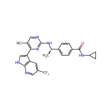 C[C@@H](Nc1ncc(C#N)c(-c2c[nH]c3ncc(C(F)(F)F)cc23)n1)c1ccc(C(=O)NC2CC2)cc1